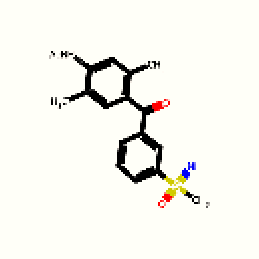 CC(=O)Nc1cc(C)c(C(=O)c2cccc(S(C)(=N)=O)c2)cc1C